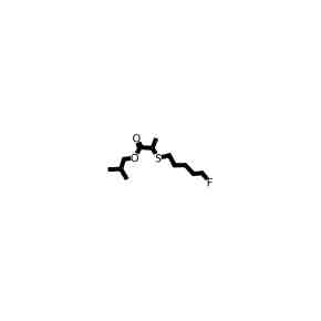 CC(C)COC(=O)C(C)SCCCCCF